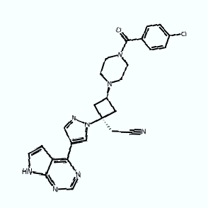 N#CC[C@]1(n2cc(-c3ncnc4[nH]ccc34)cn2)C[C@@H](N2CCN(C(=O)c3ccc(Cl)cc3)CC2)C1